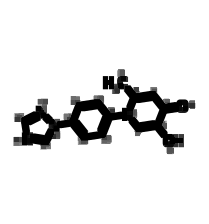 Cc1cc(=O)c(O)cn1-c1ccc(-n2cncn2)cc1